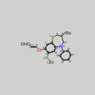 CCCCC1CSc2cc(O/C=C/C=O)c(SCC)cc2N(c2ccccc2)C1